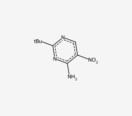 CC(C)(C)c1ncc([N+](=O)[O-])c(N)n1